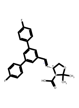 CC1(C)OC[C@@H](/C=C/c2cc(-c3ccc(F)cc3)cc(-c3ccc(F)cc3)c2)N1C(=O)O